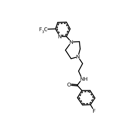 O=C(NCCN1CCN(c2cccc(C(F)(F)F)n2)CC1)c1ccc(F)cc1